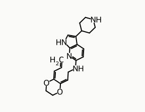 C=C/C=C1/OCCO/C1=C/CNc1ccc2c(C3CCNCC3)c[nH]c2n1